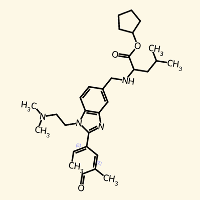 C/C=C(\C=C(\C)C=O)c1nc2cc(CNC(CC(C)C)C(=O)OC3CCCC3)ccc2n1CCN(C)C